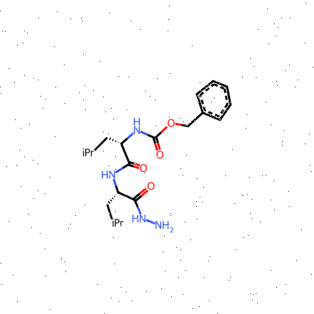 CC(C)C[C@H](NC(=O)OCc1ccccc1)C(=O)N[C@@H](CC(C)C)C(=O)NN